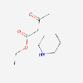 C1CCNCC1.CCOC(=O)CC(C)=O